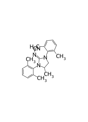 Cc1cccc(C)c1N1CC(C)N(c2c(C)cccc2C)C1=NC#N